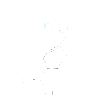 CC(c1ccc(N(C)C)cc1)[SiH](F)F